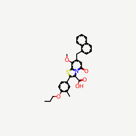 CCCOc1ccc(-c2sc3c(OC)c(Cc4cccc5ccccc45)cc(=O)n3c2C(=O)O)cc1C